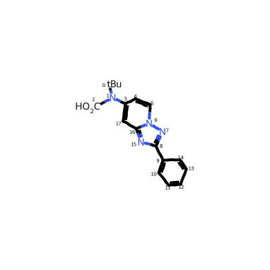 CC(C)(C)N(C(=O)O)c1ccn2nc(-c3ccccc3)nc2c1